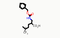 C[C@@H](CCC(CNC(=O)OCc1ccccc1)C(=O)O)C(F)(F)F